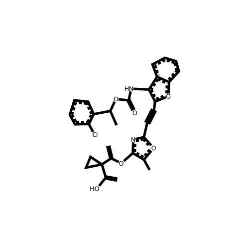 C=C(O)C1(C(=C)Oc2nc(C#Cc3oc4ccccc4c3NC(=O)OC(C)c3ccccc3Cl)oc2C)CC1